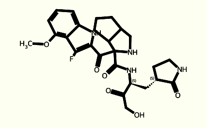 COc1cccc2[nH]c(C(=O)C3(C(=O)N[C@@H](C[C@@H]4CCNC4=O)C(=O)CO)NCC4CCCC43)c(F)c12